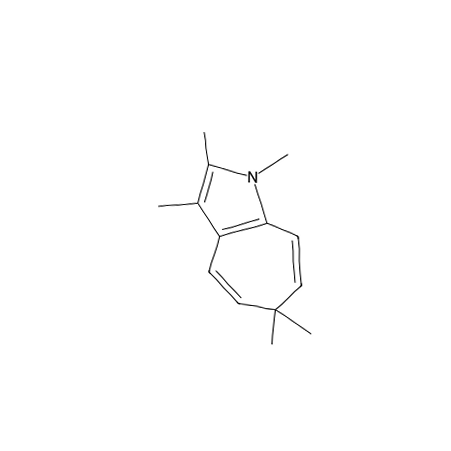 Cc1c2c(n(C)c1C)C=CC(C)(C)C=C2